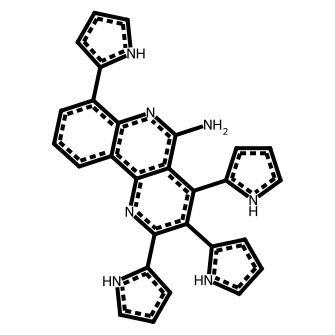 Nc1nc2c(-c3ccc[nH]3)cccc2c2nc(-c3ccc[nH]3)c(-c3ccc[nH]3)c(-c3ccc[nH]3)c12